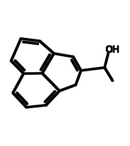 CC(O)C1=Cc2cccc3cccc(c23)C1